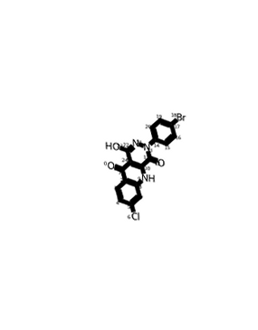 O=c1c2ccc(Cl)cc2[nH]c2c(=O)n(-c3ccc(Br)cc3)nc(O)c12